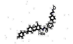 Br.COC/C=C/c1ccc(CN2CCN(C(=O)/C=C/c3cc(C)c(Oc4ccc(OCc5ccc(F)cc5)cn4)c(C)c3)CC2)cc1